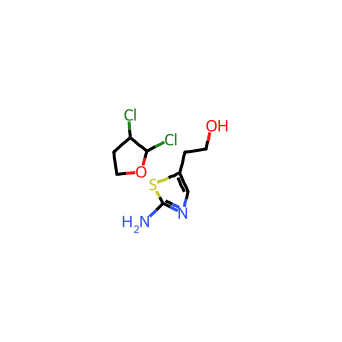 ClC1CCOC1Cl.Nc1ncc(CCO)s1